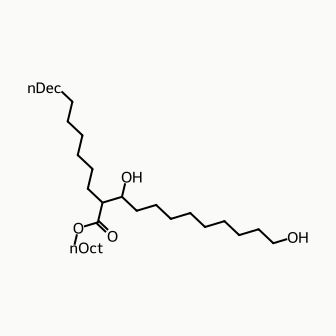 CCCCCCCCCCCCCCCCC(C(=O)OCCCCCCCC)C(O)CCCCCCCCCO